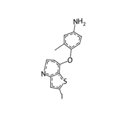 Cc1cc(N)ccc1Oc1ccnc2cc(I)sc12